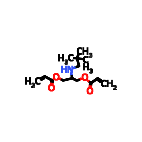 C=CC(=O)OCC(COC(=O)C=C)NCC(C)(C)C